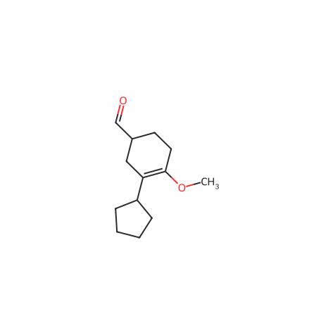 COC1=C(C2CCCC2)CC(C=O)CC1